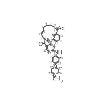 CC(=O)N1CCCC/C=C/Cn2c(=O)c3cnc(Nc4ccc(N5CCN(C)CC5)cc4)nc3n2-c2cccc1n2